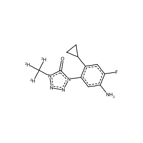 [2H]C([2H])([2H])n1nnn(-c2cc(N)c(F)cc2C2CC2)c1=O